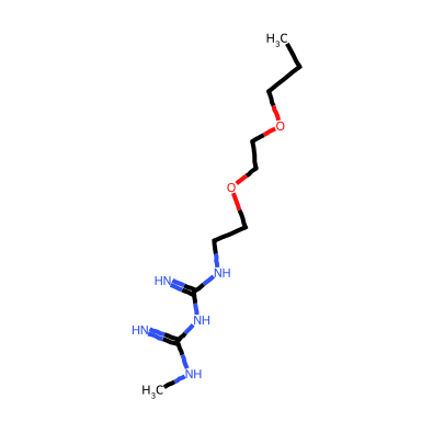 CCCOCCOCCNC(=N)NC(=N)NC